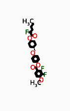 CCCC[C@H](F)C(=O)O[C@H]1CC[C@H](COc2ccc(OC(=O)c3ccc(OC)c(F)c3F)cc2)CC1